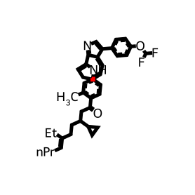 CCC/C=C(\CC)CCC(CC(=O)c1ccc(N/C2=C\C/C=C\C=C3\C(c4ccc(OC(F)F)cc4)=CN=C23)cc1C)C1CC1